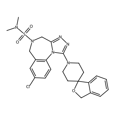 CN(C)S(=O)(=O)N1Cc2cc(Cl)ccc2-n2c(nnc2N2CCC3(CC2)OCc2ccccc23)C1